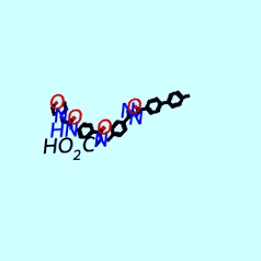 Cc1ccc(-c2ccc(-c3nc(-c4ccc(CN(CC(=O)O)C(=O)c5ccc(NC(=O)CN6CCOCC6)cc5)cc4)no3)cc2)cc1